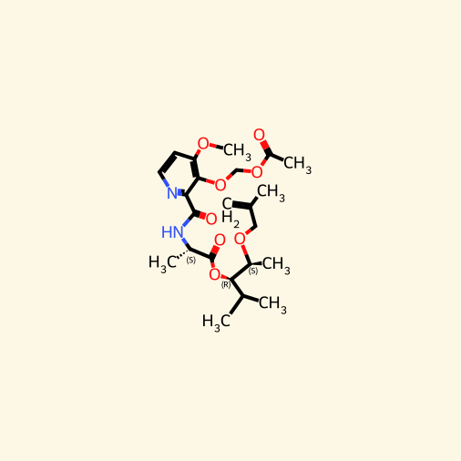 C=C(C)CO[C@@H](C)[C@H](OC(=O)[C@H](C)NC(=O)c1nccc(OC)c1OCOC(C)=O)C(C)C